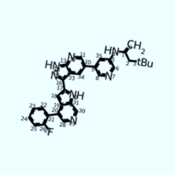 C=C(CC(C)(C)C)Nc1cncc(-c2cnc3[nH]nc(-c4cc5c(-c6ccccc6F)cncc5[nH]4)c3c2)c1